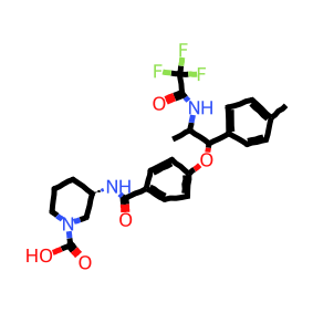 Cc1ccc(C(Oc2ccc(C(=O)N[C@H]3CCCN(C(=O)O)C3)cc2)C(C)NC(=O)C(F)(F)F)cc1